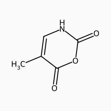 Cc1c[nH]c(=O)oc1=O